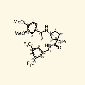 COc1ccc(C(C)N[C@@H]2CC[C@@](C(=O)NCc3cc(C(F)(F)F)cc(C(F)(F)F)c3)(C(C)C)C2)cc1OC